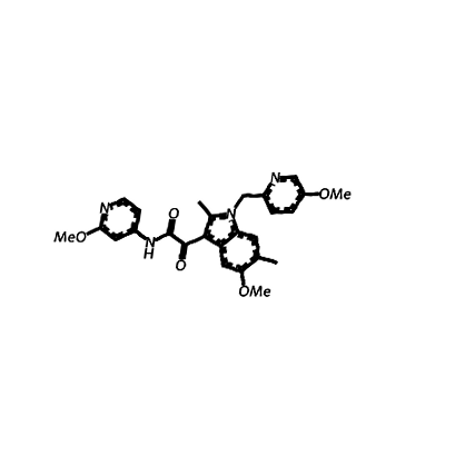 COc1ccc(Cn2c(C)c(C(=O)C(=O)Nc3ccnc(OC)c3)c3cc(OC)c(C)cc32)nc1